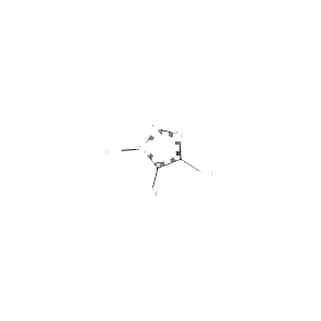 CCCCc1c(C(C)C)nnn1C(C)C